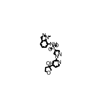 Cn1ncc2cccc(NS(=O)(=O)c3cnn(-c4cc([C@@]5(O)CCOC5)ccn4)c3)c21